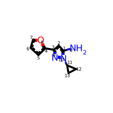 Nc1cc(-c2ccco2)nn1C1CC1